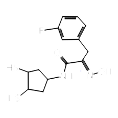 O=C(NC1CC(S)C(S)C1)/C(Cc1cccc(F)c1)=N/O